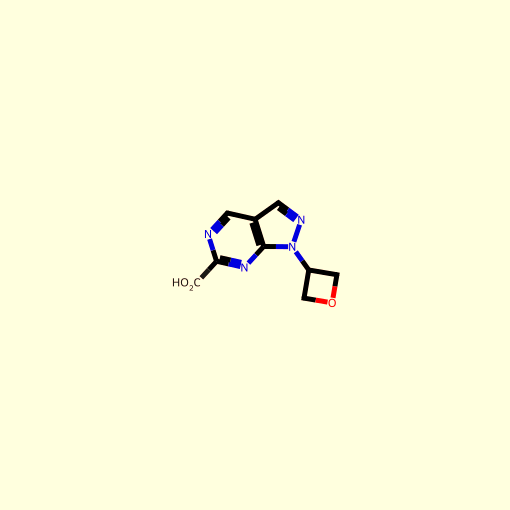 O=C(O)c1ncc2cnn(C3COC3)c2n1